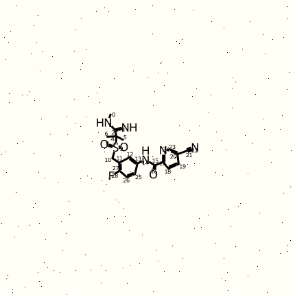 CNC(=N)C(C)(C)S(=O)(=O)Cc1cc(NC(=O)c2ccc(C#N)cn2)ccc1F